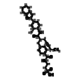 CCC#CCC(Cc1ccc(C(=O)NCCS(=O)(=O)O)cc1)C(=O)Nc1ccc(-c2cc3ccccc3o2)cc1F